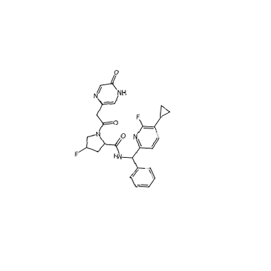 O=C(NC(c1ccccc1)c1ccc(C2CC2)c(F)n1)C1CC(F)CN1C(=O)Cc1c[nH]c(=O)cn1